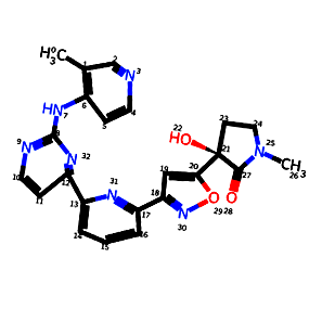 Cc1cnccc1Nc1nccc(-c2cccc(-c3cc([C@]4(O)CCN(C)C4=O)on3)n2)n1